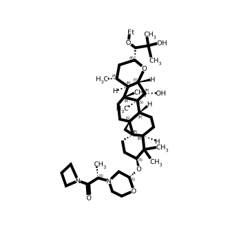 CCOC([C@H]1C[C@@H](C)[C@H]2[C@H](O1)[C@H](O)[C@@]1(C)[C@@H]3CC[C@H]4C(C)(C)[C@@H](O[C@H]5CN([C@@H](C)C(=O)N6CCC6)CCO5)CC[C@@]45C[C@@]35CC[C@]21C)C(C)(C)O